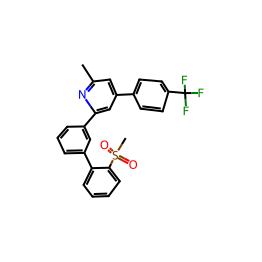 Cc1cc(-c2ccc(C(F)(F)F)cc2)cc(-c2cccc(-c3ccccc3S(C)(=O)=O)c2)n1